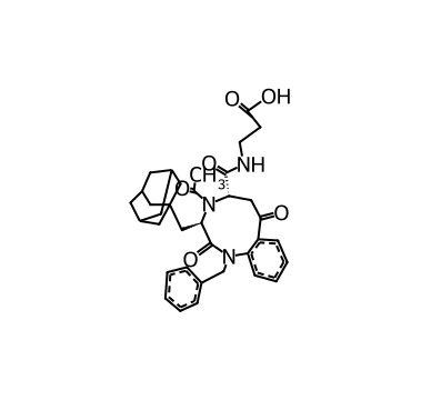 CC(=O)N1[C@H](CC23CC4CC(CC(C4)C2)C3)C(=O)N(Cc2ccccc2)c2ccccc2C(=O)C[C@H]1C(=O)NCCC(=O)O